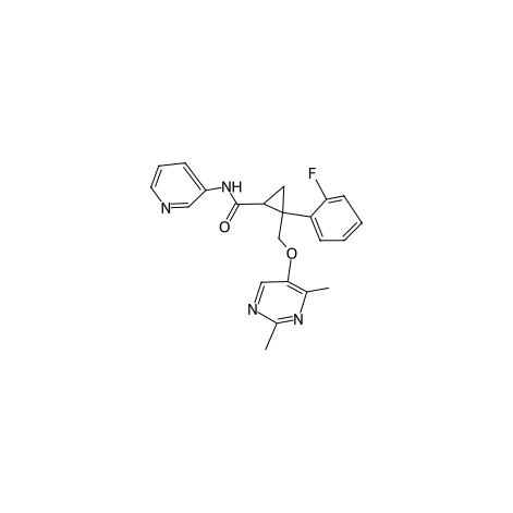 Cc1ncc(OCC2(c3ccccc3F)CC2C(=O)Nc2cccnc2)c(C)n1